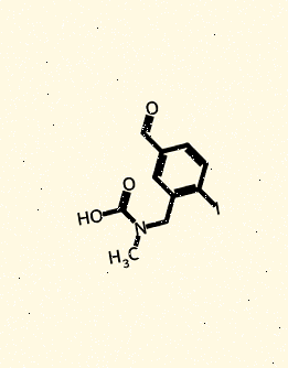 CN(Cc1cc(C=O)ccc1I)C(=O)O